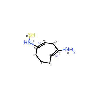 N/C1=C\CCC/C(NS)=C\C1